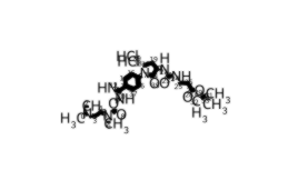 CN(C)CCN(C)C(=O)ONC(=N)c1ccc(N2CC[C@H](NC(=O)NCCC(=O)OC(C)(C)C)C2=O)cc1.Cl.Cl